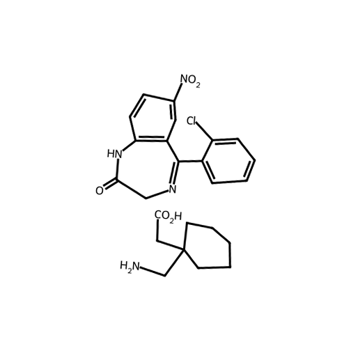 NCC1(CC(=O)O)CCCCC1.O=C1CN=C(c2ccccc2Cl)c2cc([N+](=O)[O-])ccc2N1